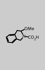 COC1Cc2ccccc2CN1C(=O)O